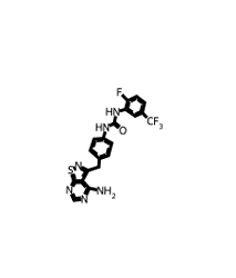 Nc1ncnc2snc(Cc3ccc(NC(=O)Nc4cc(C(F)(F)F)ccc4F)cc3)c12